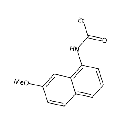 CCC(=O)Nc1cccc2ccc(OC)cc12